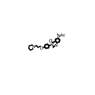 CC(=O)N(C)c1ccc2nc(C)n(-c3ccc(OCCCN4CCCCC4)cc3)c(=O)c2c1